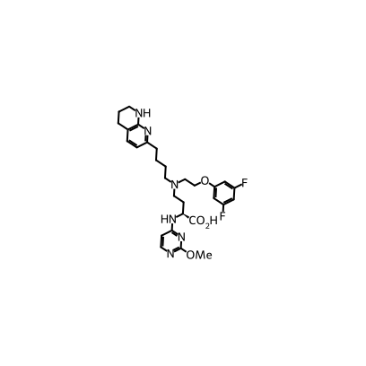 COc1nccc(N[C@@H](CCN(CCCCc2ccc3c(n2)NCCC3)CCOc2cc(F)cc(F)c2)C(=O)O)n1